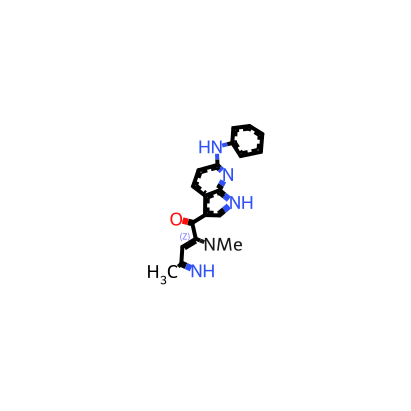 CN/C(=C\C(C)=N)C(=O)c1c[nH]c2nc(Nc3ccccc3)ccc12